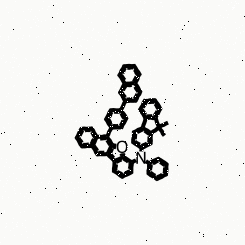 CC1(C)c2ccccc2-c2ccc(N(c3ccccc3)c3cccc4c3oc3c(-c5ccc(-c6ccc7ccccc7c6)cc5)c5ccccc5cc34)cc21